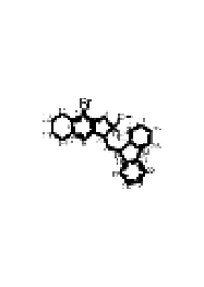 CCC1(CC)Cc2c(cc3c(c2Br)CCCC3)C1CC1c2ccccc2-c2ccccc21